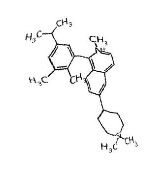 Cc1cc(C(C)C)cc(-c2c3ccc(C4CC[Si](C)(C)CC4)cc3cc[n+]2C)c1C